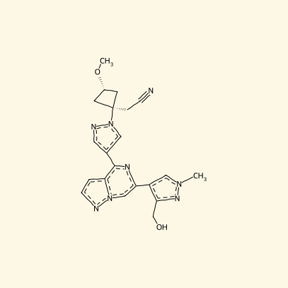 CO[C@H]1C[C@](CC#N)(n2cc(-c3nc(-c4cn(C)nc4CO)cn4nccc34)cn2)C1